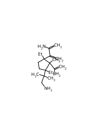 BC(=C)C1(C)C(CC)(C(=C)C(=C)N)CCC1(CC)C(C)(C)CN